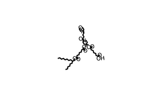 CCCCCCCCC(CCCCCC)COC(=O)CCCCCC(=O)OCC1(COC(=O)CCCCCC(=O)O)CCN(C(=O)CCCN2CCOCC2)CC1